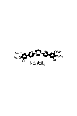 COc1cc(-c2ccc(N3CCCN(c4ccc(-c5cc(O)c(OC)c(OC)c5)cn4)CC3)nc2)cc(O)c1OC.CS(=O)(=O)O.CS(=O)(=O)O